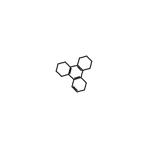 C1=Cc2c(c3c(c4c2CCCC4)CCCC3)CC1